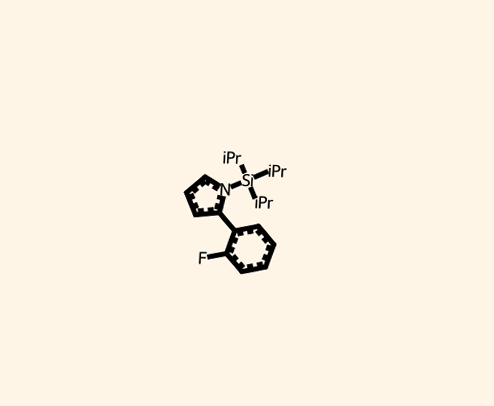 CC(C)[Si](C(C)C)(C(C)C)n1cccc1-c1ccccc1F